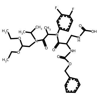 CCOC(CN(C(=O)C(C)N(C(=O)C(CNC(=O)O)NC(=O)OCc1ccccc1)c1ccc(F)c(F)c1)C(C)C)OCC